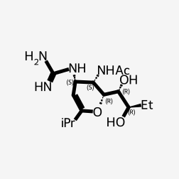 CC[C@@H](O)[C@@H](O)[C@@H]1OC(C(C)C)=C[C@H](NC(=N)N)[C@@H]1NC(C)=O